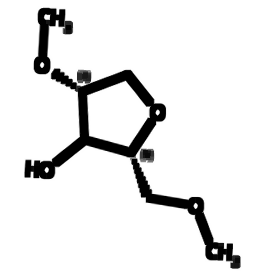 COC[C@H]1OC[C@@H](OC)C1O